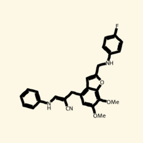 COc1cc(C/C(C#N)=C/Nc2ccccc2)c2cc(CNc3ccc(F)cc3)oc2c1OC